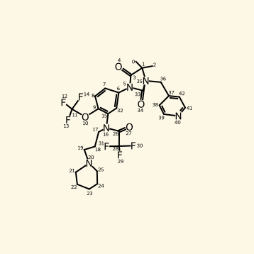 CC1(C)C(=O)N(c2ccc(OC(F)(F)F)c(N(CCCN3CCCCC3)C(=O)C(F)(F)F)c2)C(=O)N1Cc1ccncc1